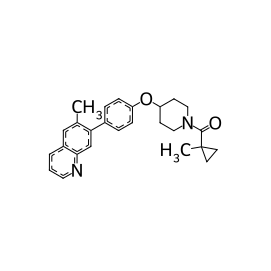 Cc1cc2cccnc2cc1-c1ccc(OC2CCN(C(=O)C3(C)CC3)CC2)cc1